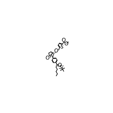 CCCCC[C@H](O[Si](C)(C)C(C)(C)C)c1ccc(N2C(=O)CC[C@@H]2COCc2ccc(C(=O)OC)s2)cc1